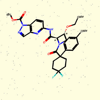 COCO[C@@H]1CN(C(=O)C2(c3ccc(OC)cc3)CCC(F)(F)CC2)[C@H]1C(=O)Nc1ccc2c(cnn2C(=O)OC(C)(C)C)n1